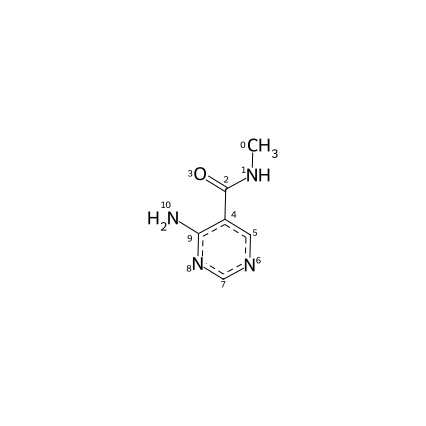 CNC(=O)c1cncnc1N